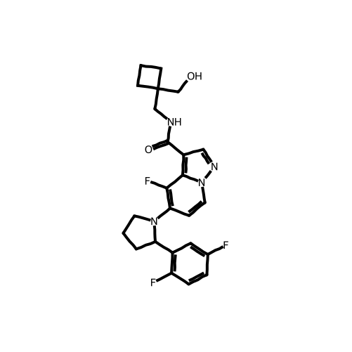 O=C(NCC1(CO)CCC1)c1cnn2ccc(N3CCCC3c3cc(F)ccc3F)c(F)c12